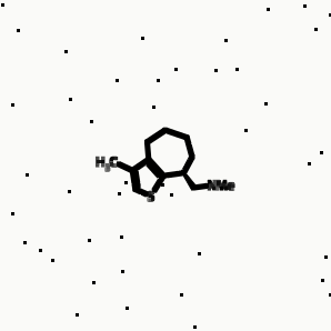 CNC[C@@H]1CCCCc2c(C)csc21